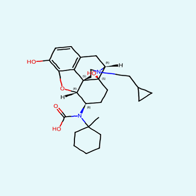 CC1(N(C(=O)O)[C@@H]2CC[C@@]3(O)[C@H]4Cc5ccc(O)c6c5[C@@]3(CCN4CC3CC3)[C@H]2O6)CCCCC1